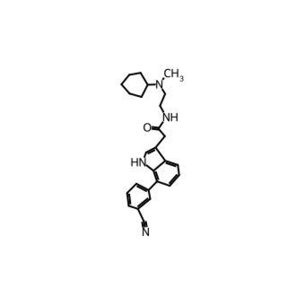 CN(CCNC(=O)Cc1c[nH]c2c(-c3cccc(C#N)c3)cccc12)C1CCCCC1